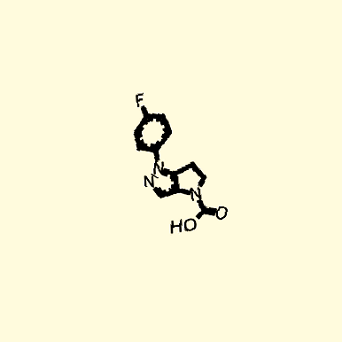 O=C(O)N1CCc2c1cnn2-c1ccc(F)cc1